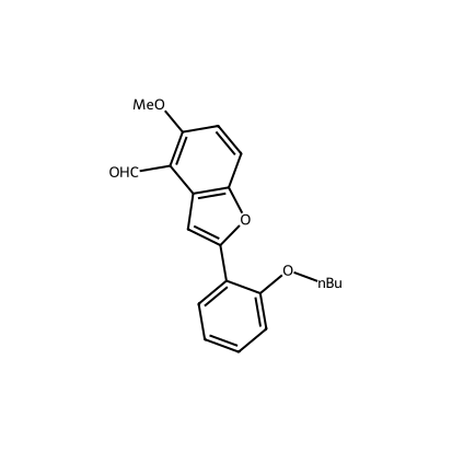 CCCCOc1ccccc1-c1cc2c(C=O)c(OC)ccc2o1